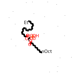 CC/C=C\C/C=C\C/C=C\C/C=C\C/C=C\C/C=C\CCC(=O)O[C@H](COC(=O)CCCCCCC/C=C\CCCCCCCC)COP(=O)(O)O